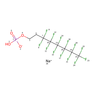 O=P([O-])(O)OCCC(F)(F)C(F)(F)C(F)(F)C(F)(F)C(F)(F)C(F)(F)F.[Na+]